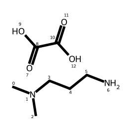 CN(C)CCCN.O=C(O)C(=O)O